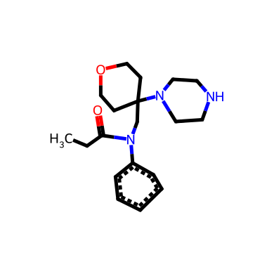 CCC(=O)N(CC1(N2CCNCC2)CCOCC1)c1ccccc1